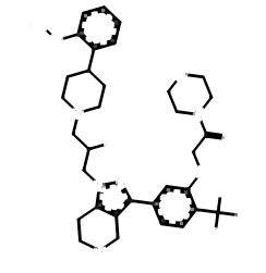 COc1ccccc1C1CCN(CC(O)Cn2nc(-c3ccc(C(F)(F)F)c(SCC(=O)N4CCOCC4)c3)c3c2CCNC3)CC1